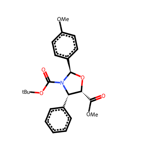 COC(=O)[C@H]1O[C@H](c2ccc(OC)cc2)N(C(=O)OC(C)(C)C)[C@H]1c1ccccc1